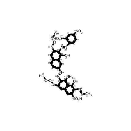 CN=Nc1c(S(=O)(=O)O)cc2cc(SOOO)c(N=Nc3ccc4cc(SOOO)c(N=Nc5ccc([N+](=O)[O-])cc5S(=O)(=O)O)c(O)c4c3)c(N)c2c1O